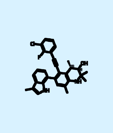 Cc1cc(-c2cccc3c(C)c[nH]c23)c(C#Cc2cccc(Cl)c2F)c2c1NC(C)(C)[C@H](O)[C@H]2C